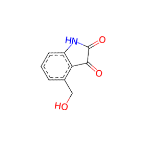 O=C1Nc2cccc(CO)c2C1=O